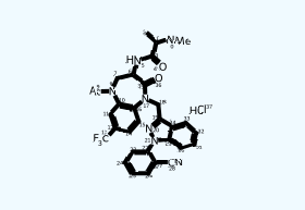 CNC(C)C(=O)NC1CN(C(C)=O)c2cc(C(F)(F)F)ccc2N(Cc2nn(-c3ccccc3C#N)c3ccccc23)C1=O.Cl